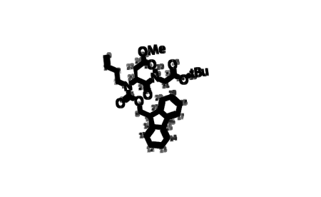 C=CCCN(C(=O)OCC1c2ccccc2-c2ccccc21)[C@@H](CC(=O)OC)C(=O)N(C)CC(=O)OC(C)(C)C